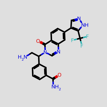 NCC(c1cccc(C(N)=O)c1)n1cnc2cc(-c3cn[nH]c3C(F)(F)F)ccc2c1=O